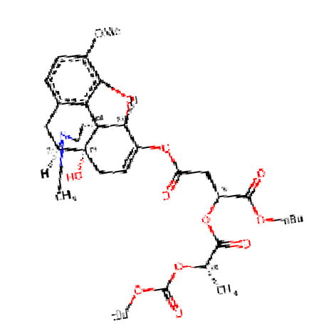 CCCCOC(=O)[C@H](CC(=O)OC1=CC[C@@]2(O)[C@H]3Cc4ccc(OC)c5c4[C@@]2(CCN3C)[C@H]1O5)OC(=O)[C@H](C)OC(=O)OC(C)(C)C